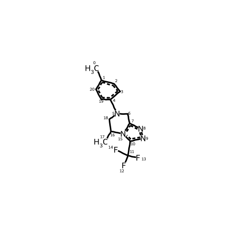 Cc1ccc(N2Cc3nnc(C(F)(F)F)n3C(C)C2)cc1